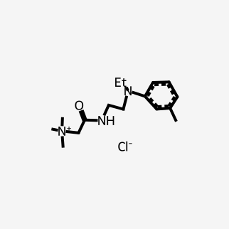 CCN(CCNC(=O)C[N+](C)(C)C)c1cccc(C)c1.[Cl-]